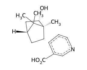 CC1(C)[C@@H]2CC[C@]1(C)[C@@H](O)C2.O=C(O)c1cccnc1